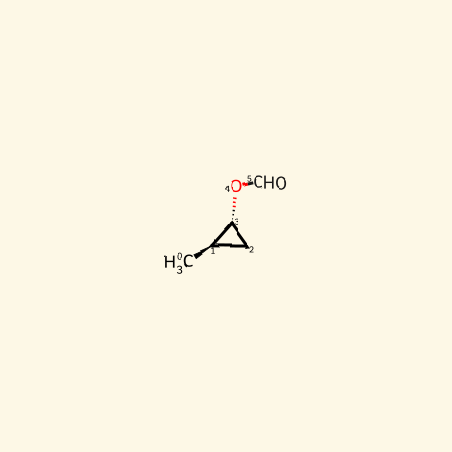 C[C@@H]1C[C@H]1OC=O